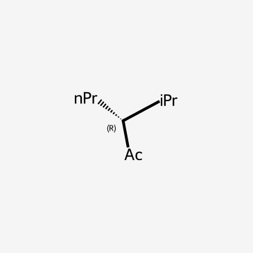 CCC[C@@H](C(C)=O)C(C)C